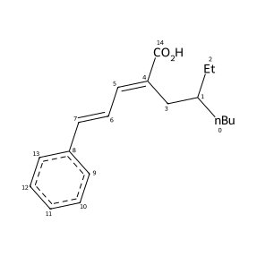 CCCCC(CC)CC(=CC=Cc1ccccc1)C(=O)O